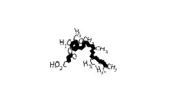 CC(C)=CCCC(C)=CCCC(C)=CCC[C@]1(C)CCc2cc(OC(=O)C=CC(=O)O)c(C)c(C)c2O1